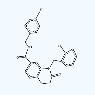 O=C(NCc1ccc(F)cc1)c1ccc2c(c1)N(Cc1ccccc1Cl)C(=O)CS2